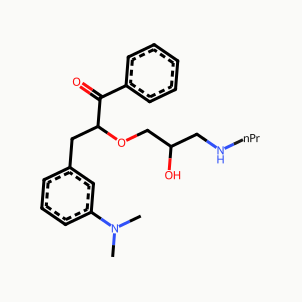 CCCNCC(O)COC(Cc1cccc(N(C)C)c1)C(=O)c1ccccc1